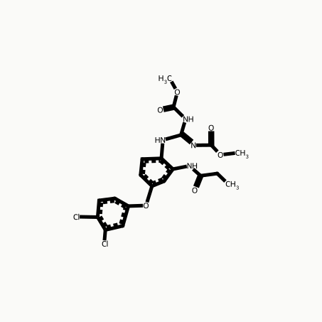 CCC(=O)Nc1cc(Oc2ccc(Cl)c(Cl)c2)ccc1NC(=NC(=O)OC)NC(=O)OC